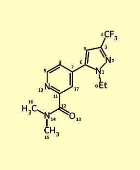 CCn1nc(C(F)(F)F)cc1-c1ccnc(C(=O)N(C)C)c1